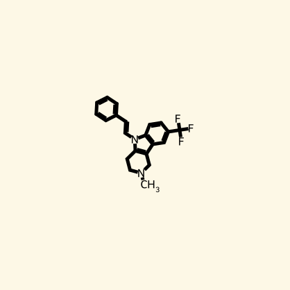 CN1CCc2c(c3cc(C(F)(F)F)ccc3n2C=Cc2ccccc2)C1